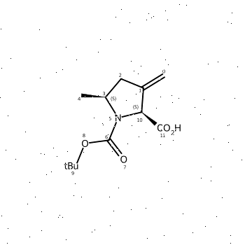 C=C1C[C@H](C)N(C(=O)OC(C)(C)C)[C@@H]1C(=O)O